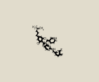 CN(C)CCCc1cc(Cl)c(-c2nc3cnc(NCc4ccc(F)c(F)c4)nc3n2CC2CCCNC2)c(Cl)c1